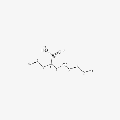 CCCCOCC(CCC)C(=O)O